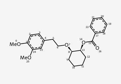 COc1ccc(CCO[C@@H]2CCCC[C@@H]2OC(=O)c2ccccc2)cc1OC